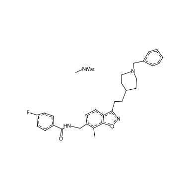 CNC.Cc1c(CNC(=O)c2ccc(F)cc2)ccc2c(CCC3CCN(Cc4ccccc4)CC3)noc12